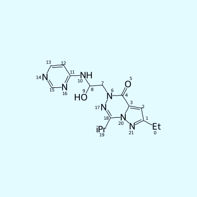 CCc1cc2c(=O)n(CC(O)Nc3ccncn3)nc(C(C)C)n2n1